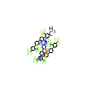 [C-]#[N+]c1cc(-n2c3cc(-c4ccc(C(F)(F)F)cc4C(F)(F)F)ccc3c3ccc(-c4ccc(C(F)(F)F)cc4C(F)(F)F)cc32)c(-c2ccc(C#N)cc2C(F)(F)F)cc1-n1c2cc(-c3ccc(C)cc3C(F)(F)F)ccc2c2ccc(-c3ccc(C(F)(F)F)cc3C(F)(F)F)cc21